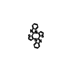 c1ccc2c(c1)nc1c3sccc3n3c4ccccc4nc3c3sccc3n21